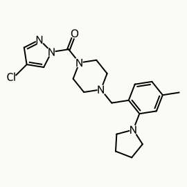 Cc1ccc(CN2CCN(C(=O)n3cc(Cl)cn3)CC2)c(N2CCCC2)c1